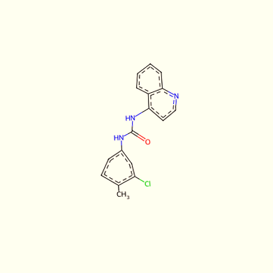 Cc1ccc(NC(=O)Nc2ccnc3ccccc23)cc1Cl